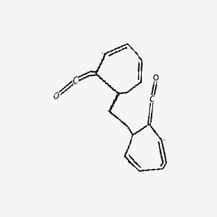 O=C=C1[C]=CC=CC1CC1C=CC=[C]C1=C=O